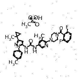 CS(=O)(=O)O.Cc1ccc(-n2nc(C3(C)CC3)cc2NC(=O)Nc2cnc(N3CCN(C(=O)c4c(F)cccc4F)CC3)c(C)c2)cc1